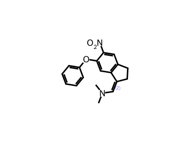 CN(C)/C=C1/CCc2cc([N+](=O)[O-])c(Oc3ccccc3)cc21